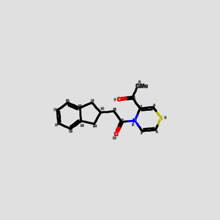 COC(=O)C1=CSC=CN1C(=O)CC1Cc2ccccc2C1